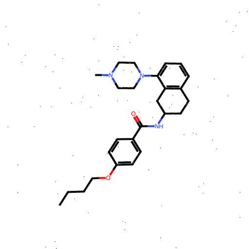 CCCCOc1ccc(C(=O)NC2CCc3cccc(N4CCN(C)CC4)c3C2)cc1